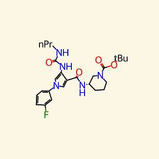 CCCNC(=O)Nc1cn(-c2cccc(F)c2)cc1C(=O)N[C@H]1CCCN(C(=O)OC(C)(C)C)C1